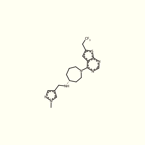 Cn1cc(CN[C@@H]2CCCN(c3ncnc4sc(CC(F)(F)F)cc34)CC2)cn1